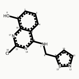 Oc1cccc2c(NCc3ccns3)nc(Cl)nc12